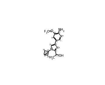 CC(O)c1nc(-c2cnc(N)c(OC(F)(F)F)c2)cn1C12CC(C1)C2